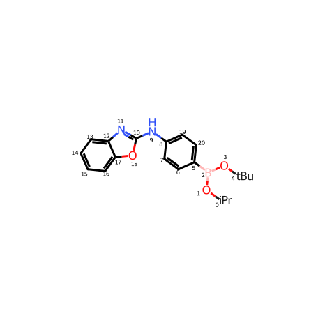 CC(C)OB(OC(C)(C)C)c1ccc(Nc2nc3ccccc3o2)cc1